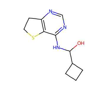 OC(Nc1ncnc2c1SCC2)C1CCC1